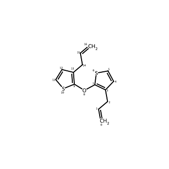 C=CCc1ccsc1Oc1sccc1CC=C